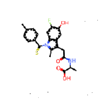 Cc1ccc(C(=S)n2c(C)c(CC(=O)NC(C)C(=O)O)c3cc(O)c(F)cc32)cc1